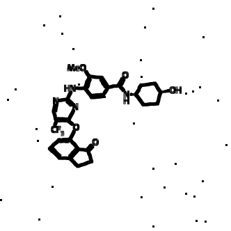 COc1cc(C(=O)N[C@H]2CC[C@H](O)CC2)ccc1Nc1ncc(C(F)(F)F)c(Oc2cccc3c2C(=O)CC3)n1